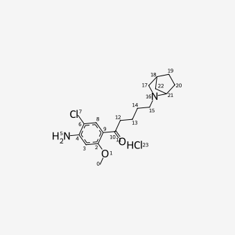 COc1cc(N)c(Cl)cc1C(=O)CCCCN1CC2CCC1C2.Cl